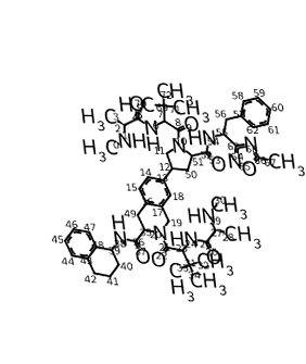 CN[C@@H](C)C(=O)NC(C(=O)N1CC(c2ccc3c(c2)CN(C(=O)C(NC(=O)[C@H](C)NC)C(C)(C)C)C(C(=O)NC2CCCc4ccccc42)C3)CC1C(=O)NC(Cc1ccccc1)c1noc(C)n1)C(C)(C)C